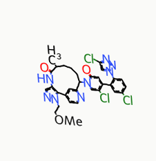 COCCn1ncc2c1-c1ccnc(c1)C(n1cc(Cl)c(-c3cc(Cl)ccc3-n3cc(Cl)nn3)cc1=O)CCCC(C)C(=O)N2